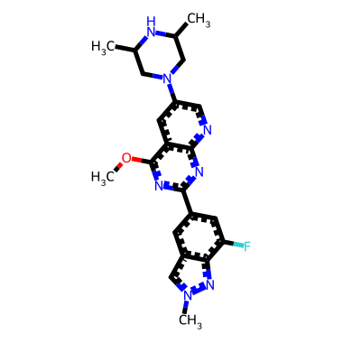 COc1nc(-c2cc(F)c3nn(C)cc3c2)nc2ncc(N3CC(C)NC(C)C3)cc12